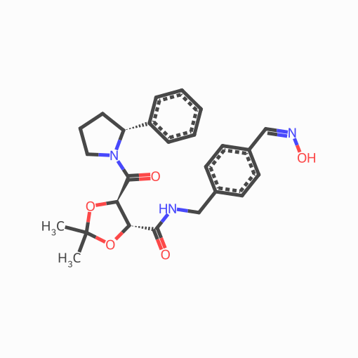 CC1(C)O[C@@H](C(=O)NCc2ccc(/C=N\O)cc2)[C@H](C(=O)N2CCC[C@@H]2c2ccccc2)O1